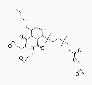 CCCCCC1C=CC(C(C)(C)CCC(C)(C)CCC(=O)OCC2CO2)C(C(=O)OCC2CO2)C1C(=O)OCC1CO1